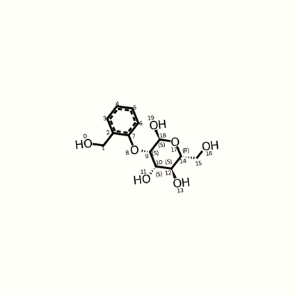 OCc1ccccc1O[C@H]1[C@@H](O)[C@H](O)[C@@H](CO)O[C@@H]1O